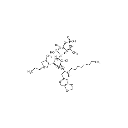 CCCCCCCC[S+]([O-])C(C)Cc1ccc2c(c1)OCO2.CCC[C@@H]1C[C@@H](C(=O)N[C@@H]([C@H]2O[C@H](SC)[C@H](OP(=O)(O)O)[C@@H](O)[C@H]2O)[C@H](C)Cl)N(C)C1